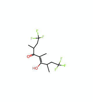 C/C(C(=O)C(C)CC(F)(F)F)=C(/O)C(C)CC(F)(F)F